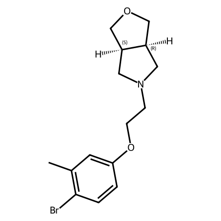 Cc1cc(OCCN2C[C@H]3COC[C@H]3C2)ccc1Br